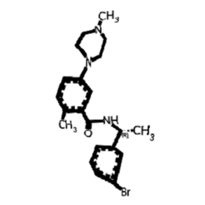 Cc1ccc(N2CCN(C)CC2)cc1C(=O)N[C@H](C)c1cccc(Br)c1